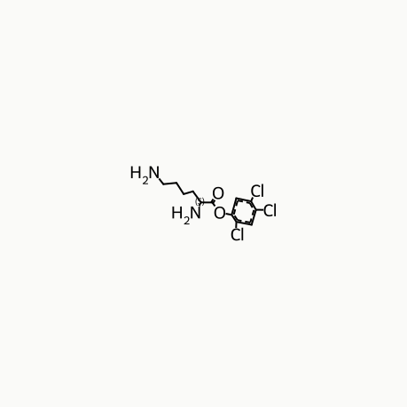 NCCCC[C@H](N)C(=O)Oc1cc(Cl)c(Cl)cc1Cl